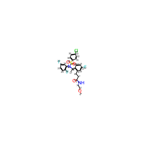 COCCNC(=O)CCc1cc(F)ccc1[C@@H](C)N(c1cc(F)ccc1F)S(=O)(=O)c1ccc(Cl)cc1